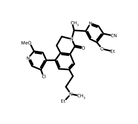 CCOc1cc(C(C)N2CCc3c(cc(CCN(C)CC)cc3-c3cc(OC)ncc3Cl)C2=O)ncc1C#N